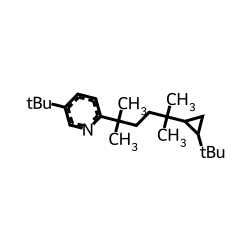 CC(C)(C)c1ccc(C(C)(C)CCC(C)(C)C2CC2C(C)(C)C)nc1